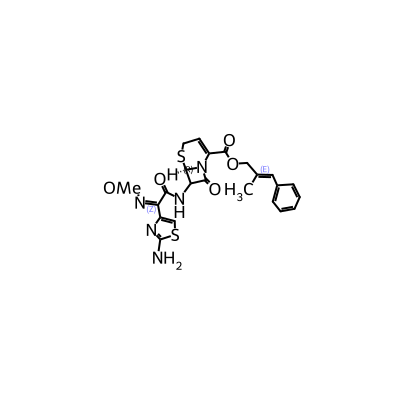 CO/N=C(\C(=O)NC1C(=O)N2C(C(=O)OC/C(C)=C/c3ccccc3)=CCS[C@H]12)c1csc(N)n1